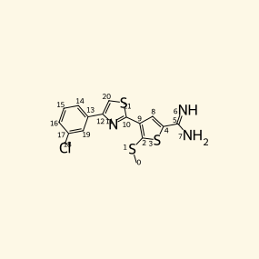 CSc1sc(C(=N)N)cc1-c1nc(-c2cccc(Cl)c2)cs1